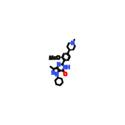 COc1cc(C2CCN(C)CC2)ccc1-c1nc2c(C)nn(C3CCCCC3)c2c(=O)[nH]1